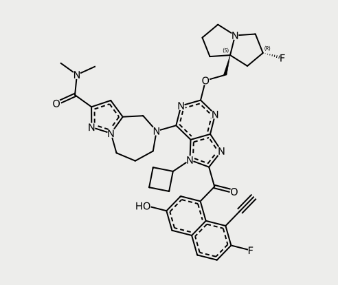 C#Cc1c(F)ccc2cc(O)cc(C(=O)c3nc4nc(OC[C@@]56CCCN5C[C@H](F)C6)nc(N5CCCn6nc(C(=O)N(C)C)cc6C5)c4n3C3CCC3)c12